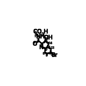 O=C(O)CNC(=O)c1nc2ccc(Br)cc2cc1O